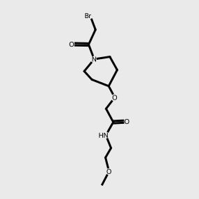 COCCNC(=O)COC1CCN(C(=O)CBr)CC1